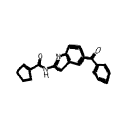 O=C(c1ccccc1)c1ccc2c(c1)CC(NC(=O)C1CCCC1)=N2